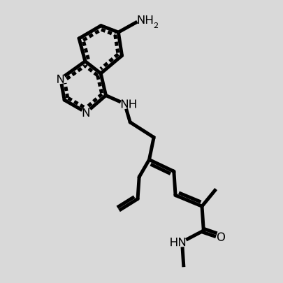 C=CC/C(=C\C=C(/C)C(=O)NC)CCNc1ncnc2ccc(N)cc12